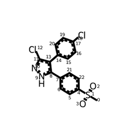 CS(=O)(=O)c1ccc(-c2[nH]nc(Cl)c2-c2ccc(Cl)cc2)cc1